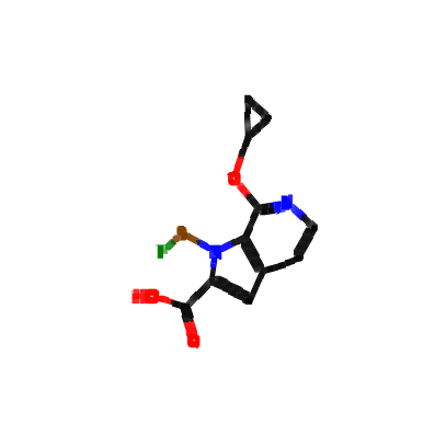 O=C(O)c1cc2ccnc(OC3CC3)c2n1SF